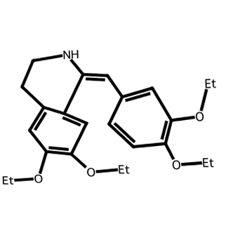 CCOc1ccc(/C=C2/NCCc3cc(OCC)c(OCC)cc32)cc1OCC